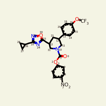 O=C(Oc1ccc([N+](=O)[O-])cc1)N1CC(c2ccc(OC(F)(F)F)cc2)CC(c2nc(C3CC3)no2)C1